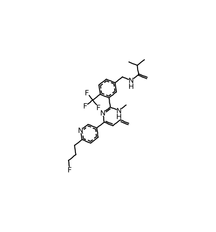 C=C/C=C(\N=C(/NC)c1cc(CNC(=C)C(C)C)ccc1C(F)(F)F)c1ccc(CCCF)nc1